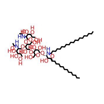 CCCCCCCCCCCCC/C=C/[C@@H](O)[C@H](CO[C@@H]1OC(CO)[C@@H](O[C@@H]2OC(CO)[C@H](O[C@@H]3OC(CO)[C@H](O)[C@H](O)C3NC(C)=O)[C@H](O[C@@H]3OC(CO)[C@@H](O)[C@H](O)C3NC(C)=O)C2O)[C@H](O)C1O)NC(=O)CCCCCCCCCCCCCCCCCCC